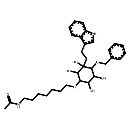 CC(=O)NCCCCCCCOC1C(O)C(O)C(OCc2ccccc2)C(O)(CCc2c[nH]c3ccccc23)C1O